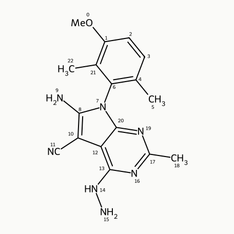 COc1ccc(C)c(-n2c(N)c(C#N)c3c(NN)nc(C)nc32)c1C